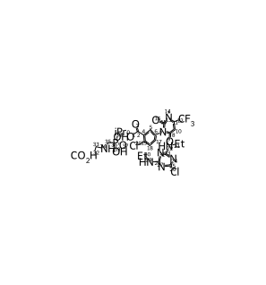 CC(C)OC(=O)c1cc(-n2c(=O)cc(C(F)(F)F)n(C)c2=O)ccc1Cl.CCNc1nc(Cl)nc(NCC)n1.O=C(O)CNCP(=O)(O)O